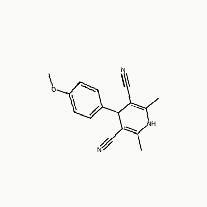 COc1ccc(C2C(C#N)=C(C)NC(C)=C2C#N)cc1